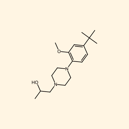 COc1cc(C(C)(C)C)ccc1N1CCN(CC(C)O)CC1